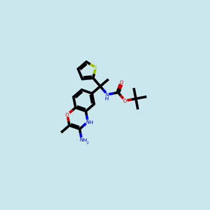 CC1=C(N)Nc2cc(C(C)(NC(=O)OC(C)(C)C)c3cccs3)ccc2O1